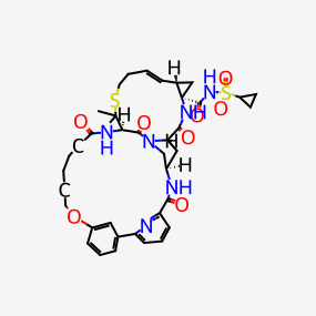 CC1(C)SCC/C=C/[C@@H]2C[C@@]2(C(=O)NS(=O)(=O)C2CC2)NC(=O)[C@@H]2C[C@@H]3CN2C(=O)[C@H]1NC(=O)CCCCCOc1cccc(c1)-c1cccc(n1)C(=O)N3